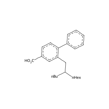 CCCCCCC(CCCC)Cc1cc(C(=O)O)ccc1-c1ccccc1